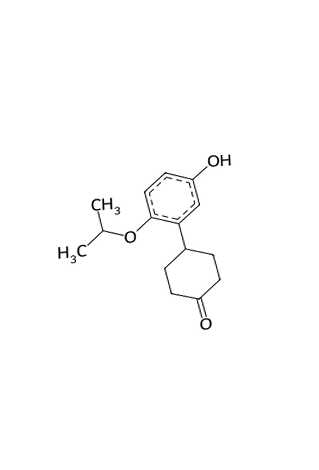 CC(C)Oc1ccc(O)cc1C1CCC(=O)CC1